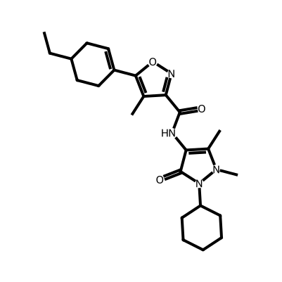 CCC1CC=C(c2onc(C(=O)Nc3c(C)n(C)n(C4CCCCC4)c3=O)c2C)CC1